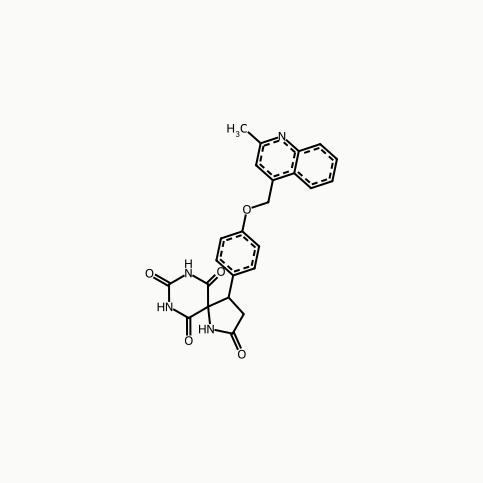 Cc1cc(COc2ccc(C3CC(=O)NC34C(=O)NC(=O)NC4=O)cc2)c2ccccc2n1